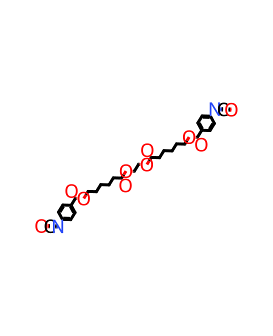 O=C=Nc1ccc(C(=O)OCCCCCC(=O)OCCOC(=O)CCCCCOC(=O)c2ccc(N=C=O)cc2)cc1